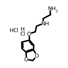 Cl.Cl.NCCNCCOc1ccc2c(c1)OCO2